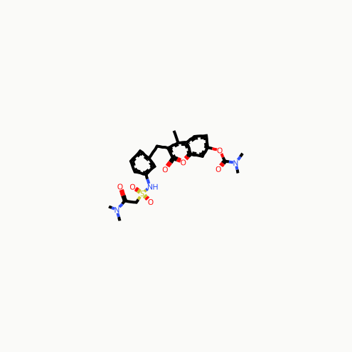 Cc1c(Cc2cccc(NS(=O)(=O)CC(=O)N(C)C)c2)c(=O)oc2cc(OC(=O)N(C)C)ccc12